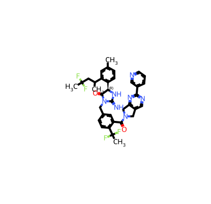 Cc1ccc([C@H]2NC(=N)N(Cc3ccc(C(C)(F)F)c(C(=O)N4Cc5cnc(-c6cccnc6)nc5C4)c3)C2=O)c(C(C)CC(C)(F)F)c1